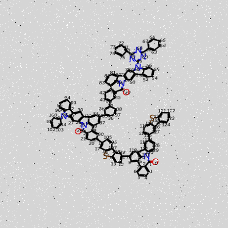 O=c1c2ccccc2c2cc(-c3ccc4sc5cc(-c6ccc7c(=O)n8c9cc%10c(cc9c9cc(-c%11cccc(-c%12ccc%13c(c%12)c(=O)n%12c%14cc%15c%16ccccc%16n(-c%16nc(-c%17ccccc%17)nc(-c%17ccccc%17)n%16)c%15cc%14c%14cccc%13c%14%12)c%11)cc(c7c6)c98)c6ccccc6n%10-c6ccccc6)ccc5c4c3)cc3c4cc(-c5ccc6sc7ccccc7c6c5)ccc4n1c23